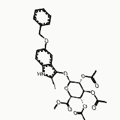 COC(=O)[C@H]1O[C@@H](Oc2c(I)[nH]c3ccc(OCc4ccccc4)cc23)[C@H](OC(C)=O)[C@@H](OC(C)=O)[C@@H]1OC(C)=O